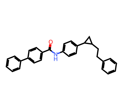 O=C(Nc1ccc(C2CC2CCc2ccccc2)cc1)c1ccc(-c2ccccc2)cc1